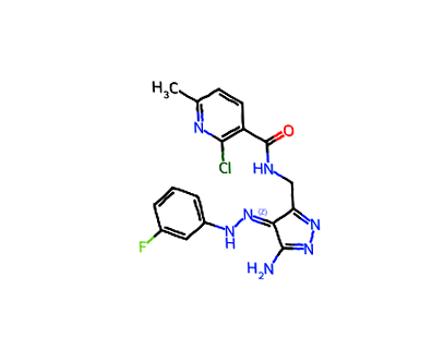 Cc1ccc(C(=O)NCC2=NN=C(N)/C2=N\Nc2cccc(F)c2)c(Cl)n1